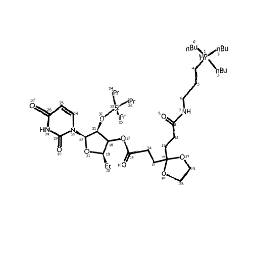 CCCC[PH](CCCC)(CCCC)CCCNC(=O)CCC1(CCC(=O)OC2[C@@H](CC)O[C@@H](n3ccc(=O)[nH]c3=O)[C@H]2O[Si](C(C)C)(C(C)C)C(C)C)OCCO1